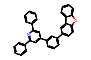 c1ccc(-c2cc(-c3cccc(-c4ccc5oc6ccccc6c5c4)c3)cc(-c3ccccc3)n2)cc1